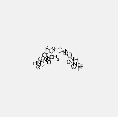 Cn1c(=O)n(C2CCC(=O)NC2=O)c2cccc(C3=CCN(C[C@H]4CC[C@H](n5cc6cc(NC(=O)c7cccc(C(F)(F)F)n7)ccc6n5)CC4)CC3F)c21